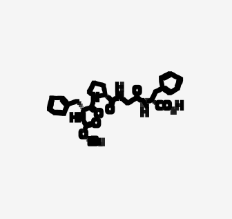 CC(C)(C)OC(=O)N[C@H](Cc1ccccc1)C(=O)N1CCC[C@H]1C(=O)NCC(=O)N[C@H](Cc1ccccc1)C(=O)O